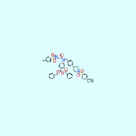 Cc1ccc(S(=O)(=O)N(C)CC(=O)N(Cc2ccc(C3CCN(S(=O)(=O)c4ccc(C#N)cc4)CC3)cc2)c2ccc(C(=O)OCc3ccccc3)c(OCc3ccccc3)c2)cc1